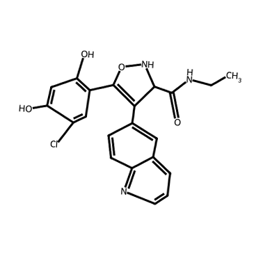 CCNC(=O)C1NOC(c2cc(Cl)c(O)cc2O)=C1c1ccc2ncccc2c1